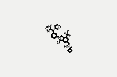 Cn1cnnc1[C@H](c1cccc(N2Cc3c(cc(CNC4(C)CCC4)cc3C(F)(F)F)C2=O)c1)C1CCOC1